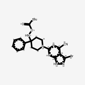 CC(C)(C)C(=O)ONC1(c2ccccc2)CCN(c2nc(C#N)c3c(Br)n[nH]c3n2)CC1